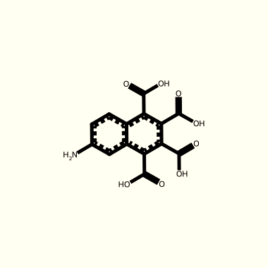 Nc1ccc2c(C(=O)O)c(C(=O)O)c(C(=O)O)c(C(=O)O)c2c1